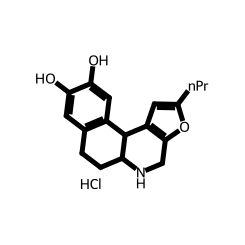 CCCc1cc2c(o1)CNC1CCc3cc(O)c(O)cc3C21.Cl